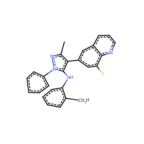 Cc1nn(-c2ccccc2)c(Nc2ccccc2C(=O)O)c1-c1cc(F)c2ncccc2c1